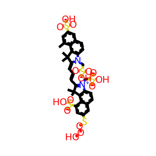 Cc1cc(S(=O)(=O)O)cc2ccc3c(c12)C(C)(C)C(=CC=CC1=[N+](CS(=O)(=O)O)c2ccc4cc(SOOO)cc(S(=O)(=O)O)c4c2C1(C)C)N3CS(=O)(=O)O